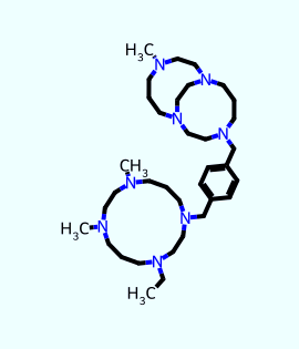 CCN1CCCN(C)CCN(C)CCCN(Cc2ccc(CN3CCCN4CCN(C)CCCN(CC4)CC3)cc2)CC1